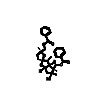 CC[C@@]1(C)C[C@@H]2O[C@]3(CC[C@@](C)(COC(=O)c4ccccc4)O3)[C@@H](C)[C@@H]2[C@@]1(C)[C@@H](C)OC(=O)c1ccccc1